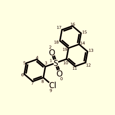 O=S(=O)(c1ccccc1Cl)c1cccc2ccccc12